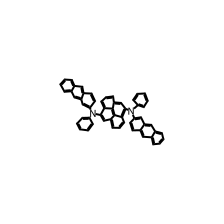 c1ccc(N(c2ccc3cc4ccccc4cc3c2)c2cc3cccc4c(N(c5ccccc5)c5ccc6cc7ccccc7cc6c5)cc5cccc2c5c34)cc1